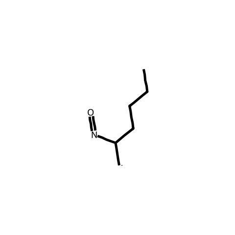 [CH2]C(CCCC)N=O